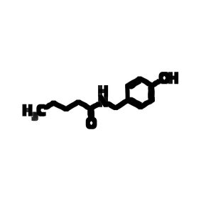 CCCCC(=O)NCc1ccc(O)cc1